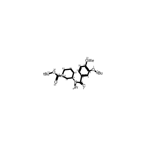 CCCCOc1cc(C(=O)N(C(C)C)[C@@H]2CCCN(C(=O)OC(C)(C)C)C2)ccc1OC